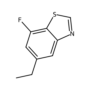 CCc1cc(F)c2scnc2c1